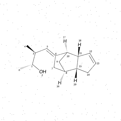 C[C@@H](O)[C@@H](C)/C=C1\C[C@H]2C[C@@H]1[C@@H]1C=CC[C@H]21